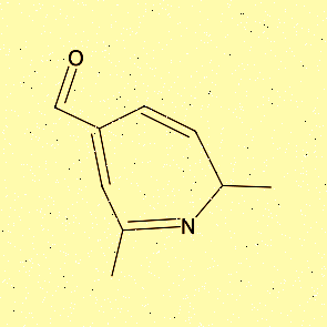 CC1=NC(C)C=CC(C=O)=C1